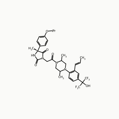 CC=Cc1cc(C(O)(C(F)(F)F)C(F)(F)F)ccc1N1CC(C)N(C(=O)CN2C(=O)N[C@](C)(c3ccc(OC(C)C)cc3)C2=O)CC1C